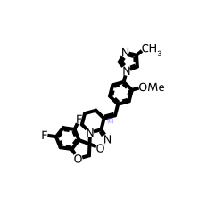 COc1cc(/C=C2\CCCN3C2=NOC32COc3cc(F)cc(F)c32)ccc1-n1cnc(C)c1